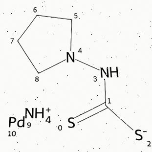 S=C([S-])NN1CCCC1.[NH4+].[Pd]